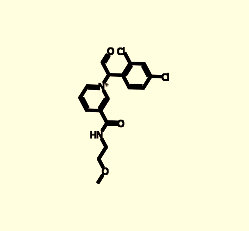 COCCNC(=O)c1ccc[n+](C(C=O)c2ccc(Cl)cc2Cl)c1